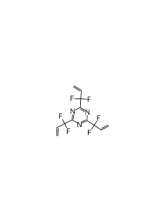 C=CC(F)(F)c1nc(C(F)(F)C=C)nc(C(F)(F)C=C)n1